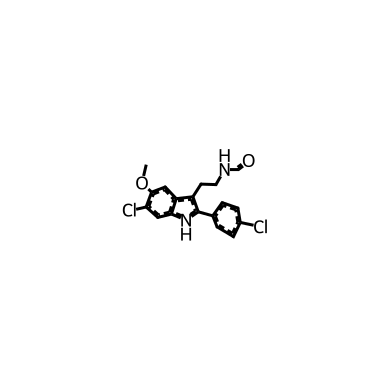 COc1cc2c(CCNC=O)c(-c3ccc(Cl)cc3)[nH]c2cc1Cl